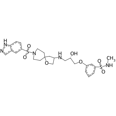 CNS(=O)(=O)c1cccc(OC[C@@H](O)CNC2COC3(CCN(S(=O)(=O)c4ccc5[nH]ncc5c4)CC3)C2)c1